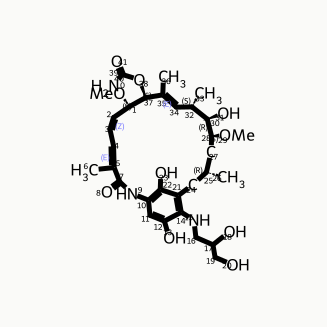 CO[C@H]1/C=C\C=C(/C)C(=O)Nc2cc(O)c(NCC(O)CO)c(c2O)C[C@@H](C)C[C@H](OC)[C@H](O)[C@@H](C)/C=C(\C)[C@@H]1OC(N)=O